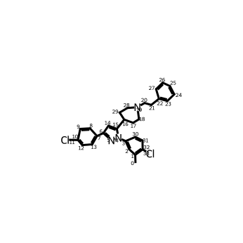 Cc1cc(-n2nc(-c3ccc(Cl)cc3)cc2C2CCN(CCc3ccccc3)CC2)ccc1Cl